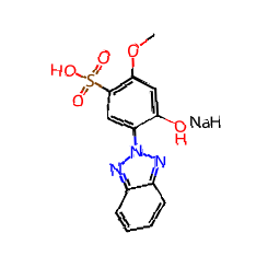 COc1cc(O)c(-n2nc3ccccc3n2)cc1S(=O)(=O)O.[NaH]